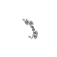 Cc1sc(-c2sc(-c3ccc(-c4ccc(-c5sc(-c6sc(C)c7c6OCCO7)c6c5OCCO6)cn4)nc3)c3c2OCCO3)c2c1OCCO2